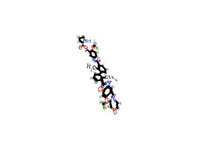 Cc1c(-c2nc3cc(COC(=O)[C@@H]4CCCN4)c(OC(F)F)cc3o2)cccc1-c1cccc(-c2nc3cc(CN4CCOCC4)c(OC(F)F)cc3o2)c1C